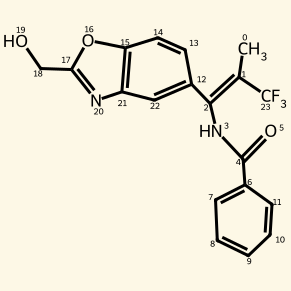 C/C(=C(/NC(=O)c1ccccc1)c1ccc2oc(CO)nc2c1)C(F)(F)F